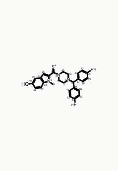 Cn1c(C(=S)N2CCN(C(c3ccc(F)cc3)c3ccc(F)cc3)CC2)cc2cc(O)ccc21